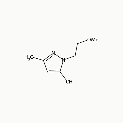 COCCn1nc(C)[c]c1C